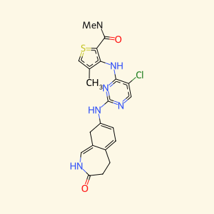 CNC(=O)c1scc(C)c1Nc1nc(NC2=CC=C3CCC(=O)NC=C3C2)ncc1Cl